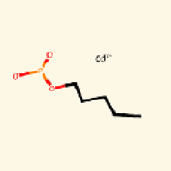 CCCCCOP([O-])[O-].[Cd+2]